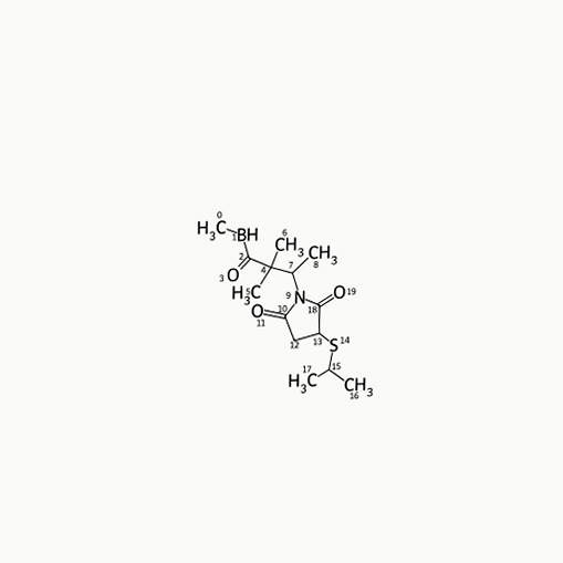 CBC(=O)C(C)(C)C(C)N1C(=O)CC(SC(C)C)C1=O